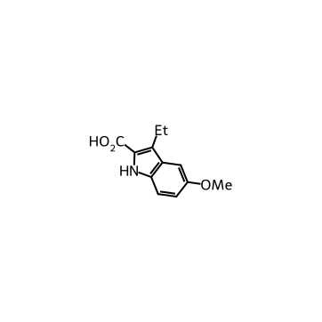 CCc1c(C(=O)O)[nH]c2ccc(OC)cc12